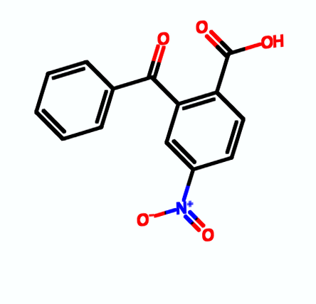 O=C(O)c1ccc([N+](=O)[O-])cc1C(=O)c1ccccc1